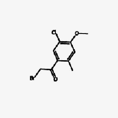 COc1cc(C)c(C(=O)CBr)cc1Cl